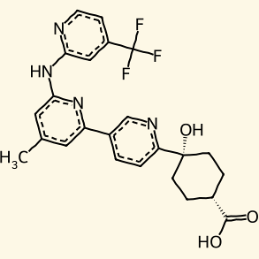 Cc1cc(Nc2cc(C(F)(F)F)ccn2)nc(-c2ccc([C@]3(O)CC[C@@H](C(=O)O)CC3)nc2)c1